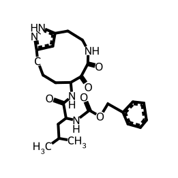 CC(C)CC(NC(=O)OCc1ccccc1)C(=O)NC1CCCc2cc([nH]n2)CCNC(=O)C1=O